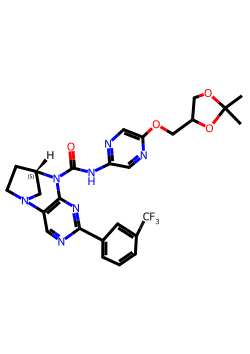 CC1(C)OCC(COc2cnc(NC(=O)N3c4nc(-c5cccc(C(F)(F)F)c5)ncc4N4CC[C@H]3C4)cn2)O1